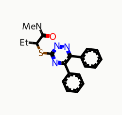 CCC(Sc1nnc(-c2ccccc2)c(-c2ccccc2)n1)C(=O)NC